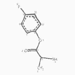 CC(S)C(=O)Oc1ccc(F)cc1